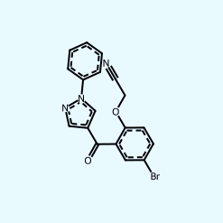 N#CCOc1ccc(Br)cc1C(=O)c1cnn(-c2ccccc2)c1